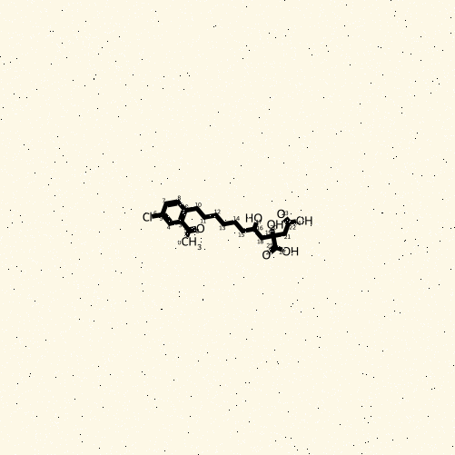 CC(=O)c1cc(Cl)ccc1CCCCCCC(O)CC(O)(CC(=O)O)C(=O)O